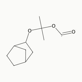 CC(C)(O[C]=O)OC1CC2CCC1C2